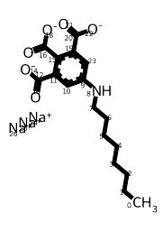 CCCCCCCCNc1cc(C(=O)[O-])c(C(=O)[O-])c(C(=O)[O-])c1.[Na+].[Na+].[Na+]